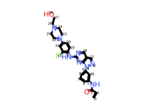 C=CC(=O)Nc1cccc(-n2ncc3cnc(Nc4ccc(N5CCN(CCO)CC5)cc4F)nc32)c1